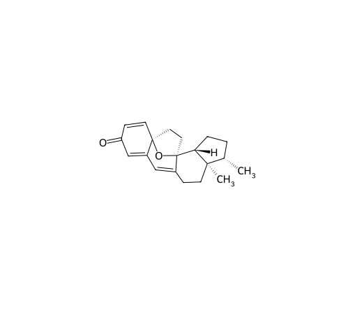 C[C@H]1CC[C@@H]2[C@]1(C)CCC1=CC3=CC(=O)C=C[C@]34CC[C@@]12O4